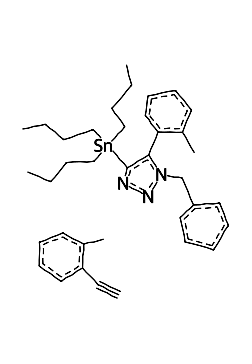 C#Cc1ccccc1C.CCC[CH2][Sn]([CH2]CCC)([CH2]CCC)[c]1nnn(Cc2ccccc2)c1-c1ccccc1C